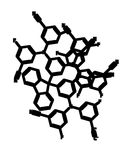 [C-]#[N+]c1cc(F)cc(N(c2cc(F)cc(C#N)c2)c2cc(N(c3cc(F)cc(C#N)c3)c3cc(F)cc(C#N)c3)cc(C3(c4cc(N(c5cc(F)cc(C#N)c5)c5cc(F)cc(C#N)c5)cc(N(c5cc(F)cc(C#N)c5)c5cc(F)cc(C#N)c5)c4)c4ccccc4-c4ccccc43)c2)c1